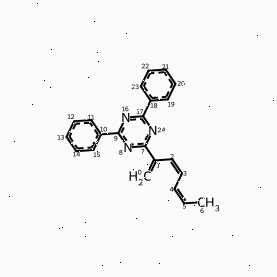 C=C(/C=C\C=C/C)c1nc(-c2ccccc2)nc(-c2ccccc2)n1